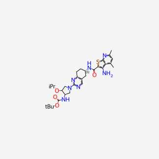 Cc1cc(C)c2c(N)c(C(=O)N[C@H]3CCc4nc(N5CC(NC(=O)OC(C)(C)C)C(OC(C)C)C5)ncc4C3)sc2n1